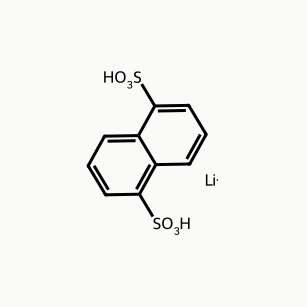 O=S(=O)(O)c1cccc2c(S(=O)(=O)O)cccc12.[Li]